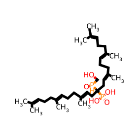 CC(C)=CCC/C(C)=C/CC/C(C)=C/CC(C/C=C(\C)CC/C=C(\C)CCC=C(C)C)([PH](=O)CO)P(=O)(O)O